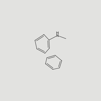 CNc1ccccc1.c1ccccc1